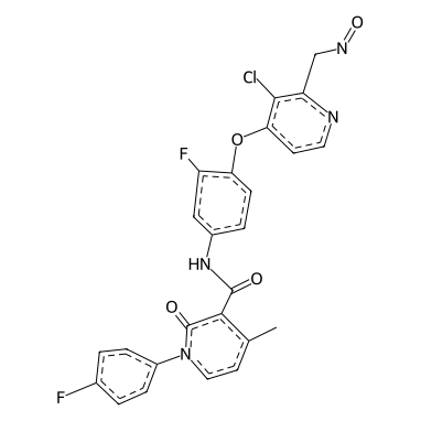 Cc1ccn(-c2ccc(F)cc2)c(=O)c1C(=O)Nc1ccc(Oc2ccnc(CN=O)c2Cl)c(F)c1